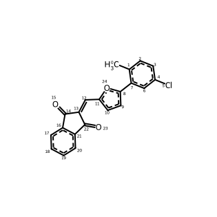 Cc1ccc(Cl)cc1-c1ccc(C=C2C(=O)c3ccccc3C2=O)o1